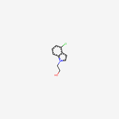 OCCn1ccc2c(Cl)cccc21